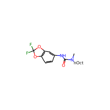 CCCCCCCCN(C)C(=O)Nc1ccc2c(c1)OC(F)(F)O2